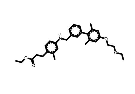 CCOCCOc1cc(C)c(-c2cccc(CNc3ccc(CCC(=O)OCC)c(C)c3)c2)c(C)c1